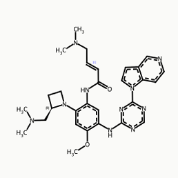 COc1cc(N2CC[C@@H]2CN(C)C)c(NC(=O)/C=C/CN(C)C)cc1Nc1ncnc(-n2ccc3cnccc32)n1